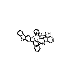 C[Si]1(C)c2ccccc2-c2nc(-c3ccccc3)nc(-c3ccccc3-n3c4ccccc4c4cc5oc6ccccc6c5cc43)c21